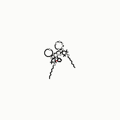 CCCCCCCCON1C(C)(C)CC2(CC1(C)C)OC1(CCCCCCCCCCC1)N(CC(CN1C(=O)C3(CC(C)(C)N(OCCCCCCCC)C(C)(C)C3)OC13CCCCCCCCCCC3)OCc1ccccc1)C2=O